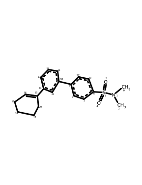 CN(C)S(=O)(=O)c1ccc(-c2cc[c]c(C3=CCCCC3)c2)cc1